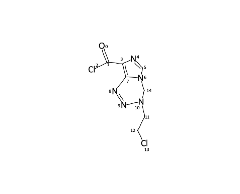 O=C(Cl)c1ncn2c1N=NN(CCCl)C2